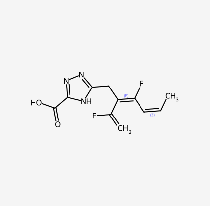 C=C(F)/C(Cc1nnc(C(=O)O)[nH]1)=C(F)\C=C/C